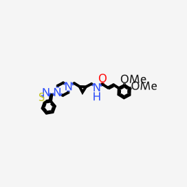 COc1cccc(/C=C/C(=O)NCC2CC2CN2CCN(c3nsc4ccccc34)CC2)c1OC